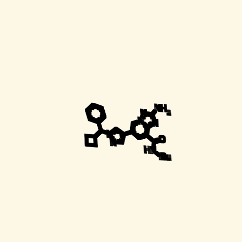 CCC(C)NC(=O)c1cc(-c2cnn(C(c3ccccc3)C3CCC3)c2)cn2nc(N)nc12